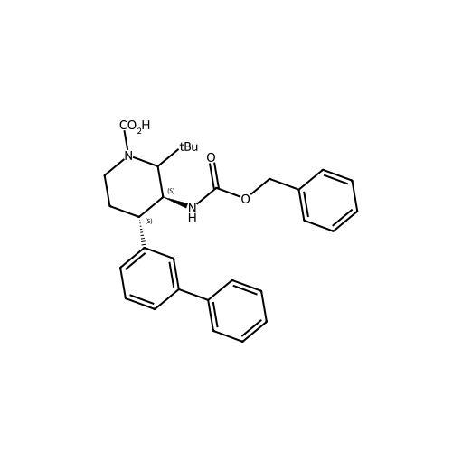 CC(C)(C)C1[C@@H](NC(=O)OCc2ccccc2)[C@H](c2cccc(-c3ccccc3)c2)CCN1C(=O)O